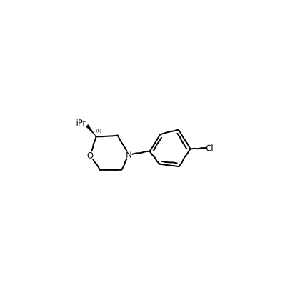 CC(C)[C@H]1CN(c2ccc(Cl)cc2)CCO1